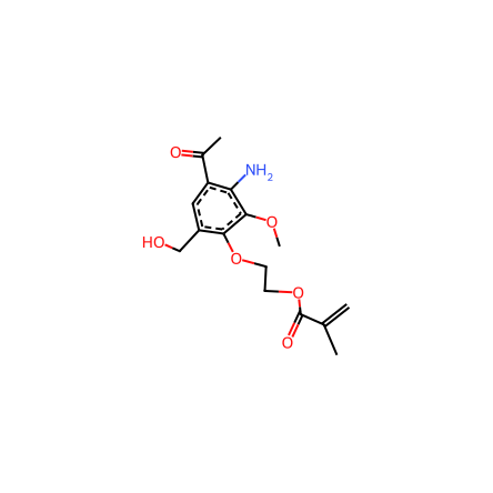 C=C(C)C(=O)OCCOc1c(CO)cc(C(C)=O)c(N)c1OC